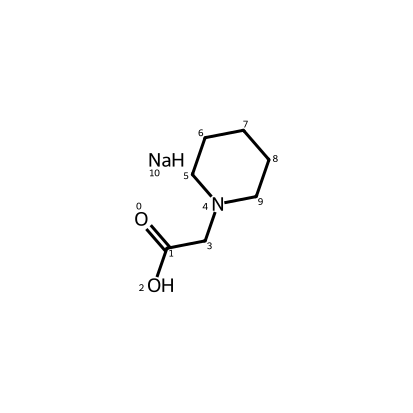 O=C(O)CN1CCCCC1.[NaH]